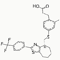 Cc1cc(SC[C@@H]2CCCCc3sc(-c4ccc(C(F)(F)F)cc4)nc32)ccc1CCC(=O)O